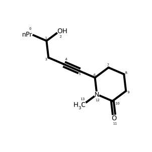 CCCC(O)CC#CC1CCCC(=O)N1C